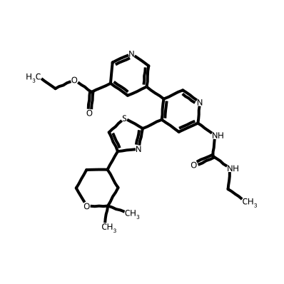 CCNC(=O)Nc1cc(-c2nc(C3CCOC(C)(C)C3)cs2)c(-c2cncc(C(=O)OCC)c2)cn1